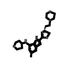 Cc1cc(NC2CCOCC2)c2[nH]c(C3=N[C@H](CCN4CCOCC4)CO3)cc2c1